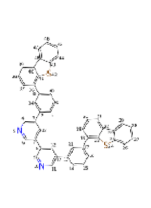 c1cc(-c2cncc(-c3cncc(-c4cccc(-c5cccc6c5sc5ccccc56)c4)c3)c2)cc(-c2cccc3c2sc2ccccc23)c1